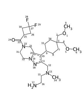 COCC1(COC)CCC(c2c(CN(C)CCN)nn3c2CN(C(=O)C2CC(F)(F)C2)CC3)CC1